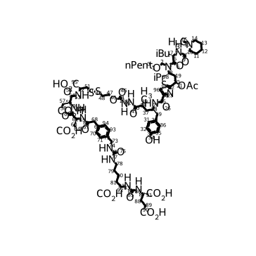 CCCCCOCN(C(=O)[C@@H](NC(=O)[C@H]1CCCCN1C)C(C)CC)[C@H](C[C@@H](OC(C)=O)c1nc(C(=O)N[C@@H](Cc2ccc(O)cc2)C[C@H](C)C(=O)NNC(=O)OCCSSC[C@H](NC(=O)[C@H](CC(=O)O)NC(=O)[C@H](CC(=O)O)NC(=O)Cc2ccc(CNC(=O)NCCCC[C@H](NC(=O)N[C@@H](CCC(=O)O)C(=O)O)C(=O)O)cc2)C(=O)O)cs1)C(C)C